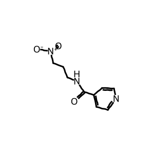 O=C(NCCC[N+](=O)[O-])c1ccncc1